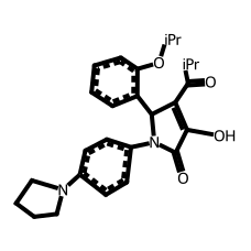 CC(C)Oc1ccccc1C1C(C(=O)C(C)C)=C(O)C(=O)N1c1ccc(N2CCCC2)cc1